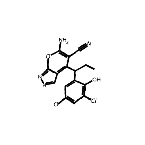 CCC(c1cc(Cl)cc(Cl)c1O)c1c2cnnc-2oc(N)c1C#N